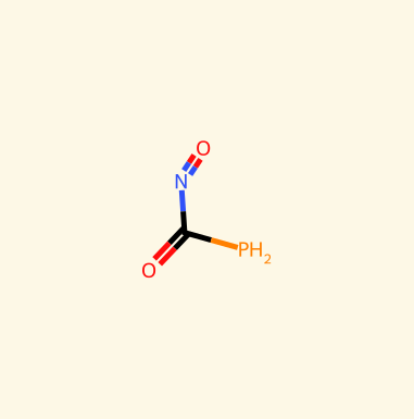 O=NC(=O)P